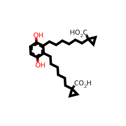 O=C(O)C1(CCCCCCc2c(O)ccc(O)c2CCCCCCC2(C(=O)O)CC2)CC1